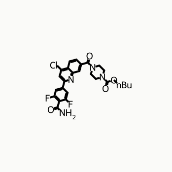 CCCCOC(=O)N1CCN(C(=O)c2ccc3c(Cl)cc(-c4cc(F)c(C(N)=O)c(F)c4)nc3c2)CC1